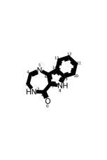 O=C1NCC=Nc2c1[nH]c1ccccc21